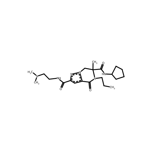 CCCN1C(=O)c2cc(C(=O)NCCN(C)C)nn2CC1(C)C(=O)NC1CCCC1